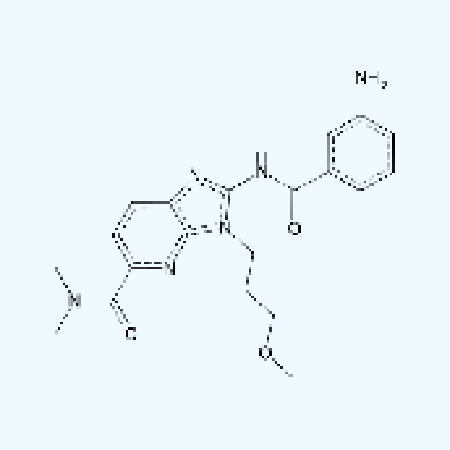 COCCCn1c(NC(=O)c2cccc(N)c2)nc2ccc(C(=O)N(C)C)nc21